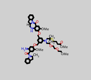 COCCOCCOCCN(CC(C)(C)SCCCC(=O)OC)c1cc(COc2cc(N)c(C(=O)N3c4ccccc4C[C@H]3C)cc2OC)cc(COc2cc3c(cc2OC)C(=O)N2c4ccccc4C[C@H]2CN3)c1